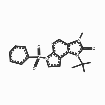 Cn1c(=O)n(C(C)(C)C)c2c3ccn(S(=O)(=O)c4ccccc4)c3ncc21